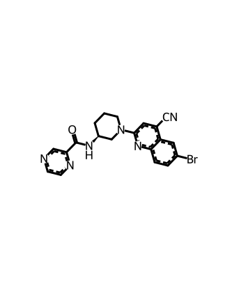 N#Cc1cc(N2CCC[C@H](NC(=O)c3cnccn3)C2)nc2ccc(Br)cc12